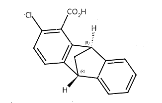 O=C(O)c1c(Cl)ccc2c1[C@@H]1C[C@@H]2c2ccccc21